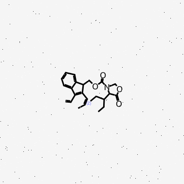 C=CC1=C(/C=C\C)C(COC(=O)N2COC(=O)C2C(CC)CC)c2ccccc21